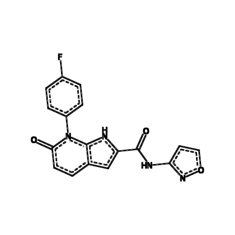 O=C(Nc1ccon1)c1cc2ccc(=O)n(-c3ccc(F)cc3)c2[nH]1